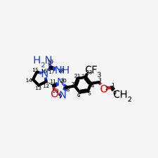 C=COCc1ccc(-c2noc([C@@H]3CCCN3C(=N)N)n2)cc1C(F)(F)F